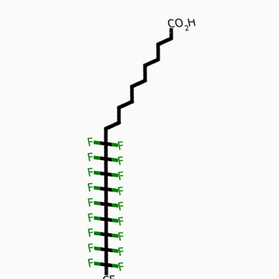 O=C(O)CCCCCCCCCCC(F)(F)C(F)(F)C(F)(F)C(F)(F)C(F)(F)C(F)(F)C(F)(F)C(F)(F)C(F)(F)C(F)(F)F